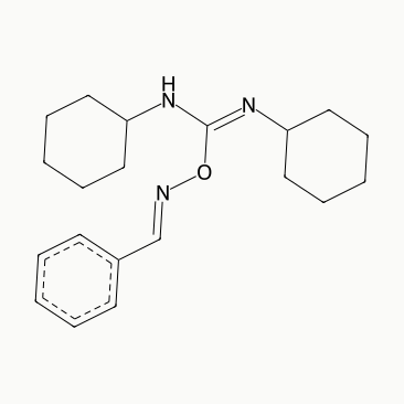 C(=N\O/C(=N\C1CCCCC1)NC1CCCCC1)/c1ccccc1